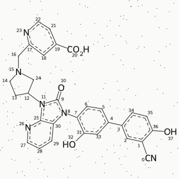 N#Cc1cc(-c2ccc(-n3c(=O)n(C4CCN(Cc5cc(C(=O)O)ccn5)C4)c4ncccc43)c(O)c2)ccc1O